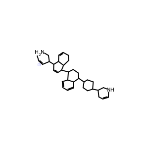 C/C=C\C(CN)C1C=CC(C2CCC(C3CCC(C4CC=CNC4)CC3)C3C=CC=CC32)C2CCC=CC12